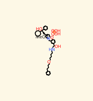 CO[C@]1(C#CC(O)(c2ccccc2)C2CCCCCCC2)C[N+]2(Cc3cc(C(O)CNCCCCCCOCCCCc4ccccc4)ccc3OCOP(=O)(O)O)CCC1CC2